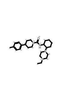 CCN1CCN(C2CCCCC2NC(=O)N2CCC(c3ccc(C)cc3)CC2)CC1